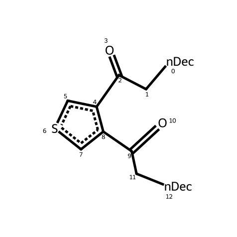 CCCCCCCCCCCC(=O)c1cscc1C(=O)CCCCCCCCCCC